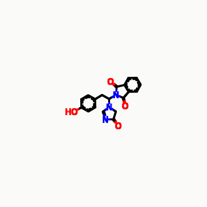 O=C1CN(C(Cc2ccc(O)cc2)N2C(=O)c3ccccc3C2=O)C=N1